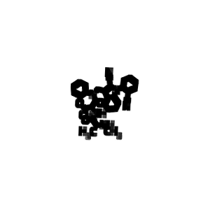 CN[C@@H](C)C(=O)N[C@@H]1C(=O)N(Cc2c(C#N)n(-c3ccccc3C#N)c3ccccc23)c2ccccc2O[C@H]1C